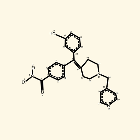 CCN(CC)C(=O)c1ccc(C(=C2CCN(Cc3ccncc3)CC2)c2cccc(O)c2)cc1